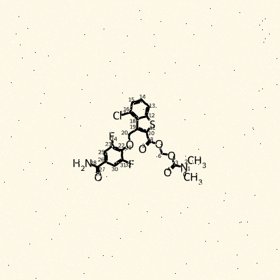 CN(C)C(=O)OCOC(=O)c1sc2cccc(Cl)c2c1COc1c(F)cc(C(N)=O)cc1F